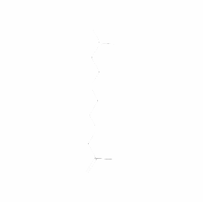 C=C(C)COCCOCCN(C)C